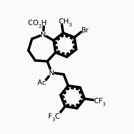 CC(=O)N(Cc1cc(C(F)(F)F)cc(C(F)(F)F)c1)C1CCCN(C(=O)O)c2c1ccc(Br)c2C